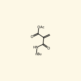 C=C(C(=O)NCCCC)C(=O)OC(C)=O